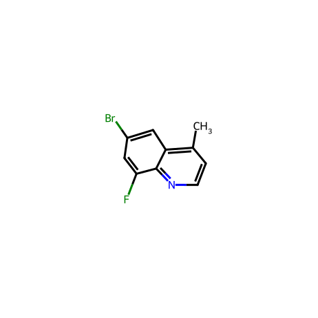 Cc1ccnc2c(F)cc(Br)cc12